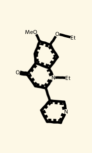 CCOc1cc2c(cc1OC)c(=O)cc(-c1cccnc1)n2CC